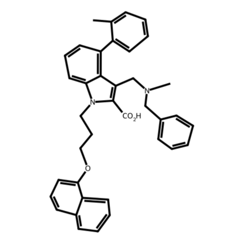 Cc1ccccc1-c1cccc2c1c(CN(C)Cc1ccccc1)c(C(=O)O)n2CCCOc1cccc2ccccc12